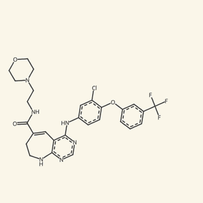 O=C(NCCN1CCOCC1)C1=Cc2c(ncnc2Nc2ccc(Oc3cccc(C(F)(F)F)c3)c(Cl)c2)NCC1